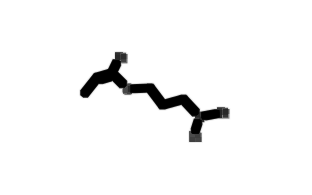 C/C=C(/CC)OCCCN(CC)CC